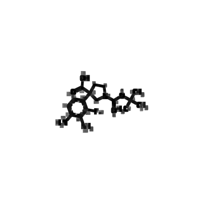 CC(C)(C)OC(=O)N1CCC(C(=O)O)(c2ccc(N)c(N)c2F)C1